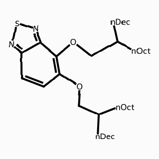 CCCCCCCCCCC(CCCCCCCC)COc1ccc2nsnc2c1OCC(CCCCCCCC)CCCCCCCCCC